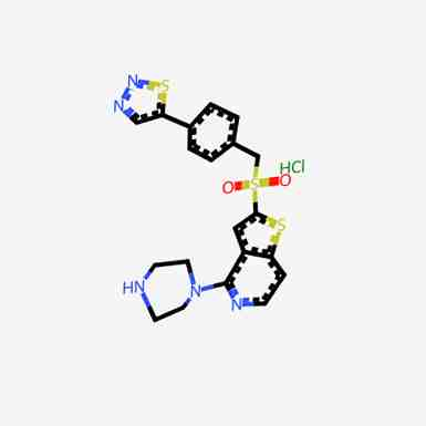 Cl.O=S(=O)(Cc1ccc(-c2cnns2)cc1)c1cc2c(N3CCNCC3)nccc2s1